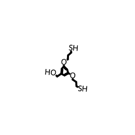 OCc1cc(OCCCS)cc(OCCCS)c1